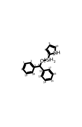 c1ccc(C(O[SiH2]c2ccc[nH]2)c2ccccc2)cc1